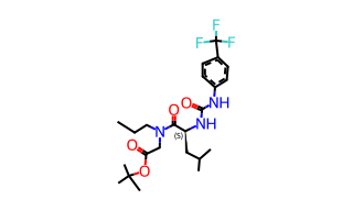 CCCN(CC(=O)OC(C)(C)C)C(=O)[C@H](CC(C)C)NC(=O)Nc1ccc(C(F)(F)F)cc1